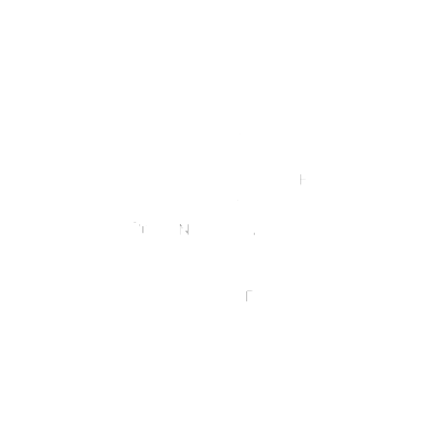 CC(C)N1CC(F)Oc2c(F)cccc21